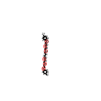 Cc1ccc(OCCOCCOCC=CCOCCOCCOc2ccc(C)cc2)cc1